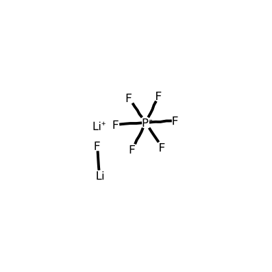 F[P-](F)(F)(F)(F)F.[Li+].[Li][F]